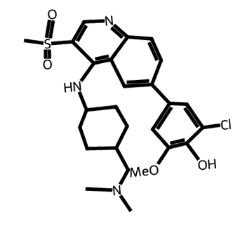 COc1cc(-c2ccc3ncc(S(C)(=O)=O)c(NC4CCC(CN(C)C)CC4)c3c2)cc(Cl)c1O